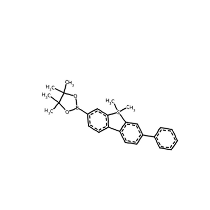 CC1(C)OB(c2ccc3c(c2)S(C)(C)c2cc(-c4ccccc4)ccc2-3)OC1(C)C